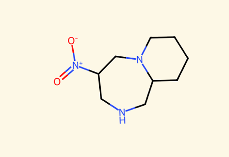 O=[N+]([O-])C1CNCC2CCCCN2C1